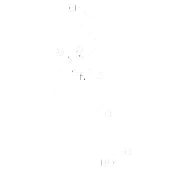 CCc1cccc(CC(NS(=O)(=O)c2ccccc2)c2nc3ccc(OCCCC(=O)O)cc3s2)c1